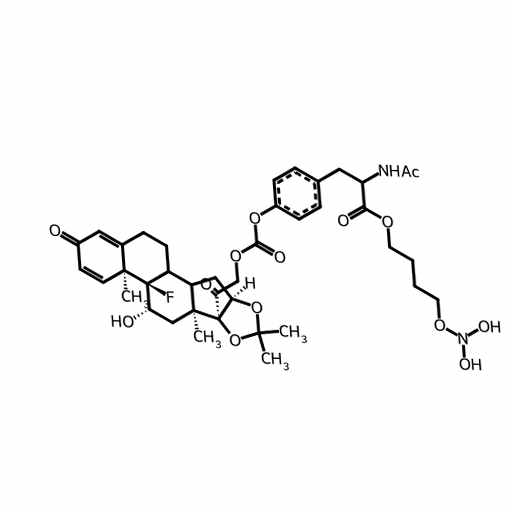 CC(=O)NC(Cc1ccc(OC(=O)OCC(=O)[C@@]23OC(C)(C)O[C@@H]2CC2C4CCC5=CC(=O)C=C[C@]5(C)[C@@]4(F)[C@@H](O)C[C@@]23C)cc1)C(=O)OCCCCON(O)O